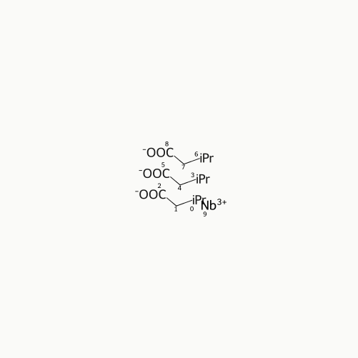 CC(C)CC(=O)[O-].CC(C)CC(=O)[O-].CC(C)CC(=O)[O-].[Nb+3]